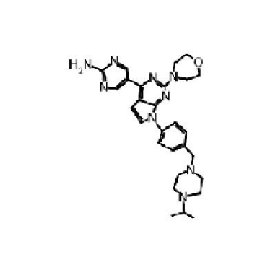 CC(C)N1CCN(Cc2ccc(-n3ccc4c(-c5cnc(N)nc5)nc(N5CCOCC5)nc43)cc2)CC1